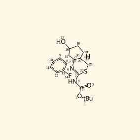 CC(C)(C)OC(=O)NC1=N[C@@]2(c3ccccc3F)CC(O)CC[C@H]2CS1